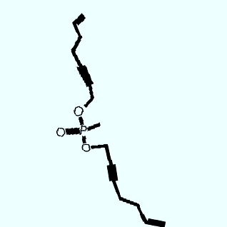 C=CCCC#CCOP(C)(=O)OCC#CCCC=C